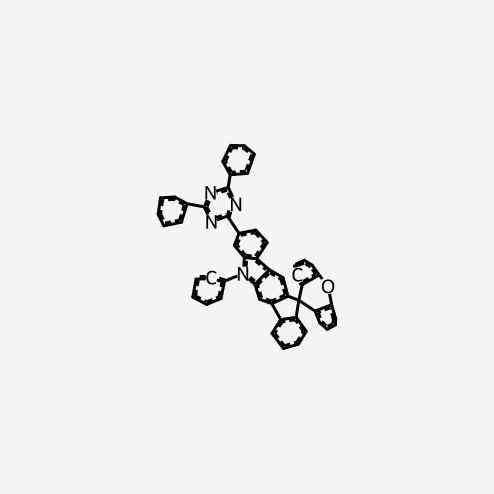 c1ccc(-c2nc(-c3ccccc3)nc(-c3ccc4c5cc6c(cc5n(-c5ccccc5)c4c3)-c3ccccc3C63c4ccccc4Oc4ccccc43)n2)cc1